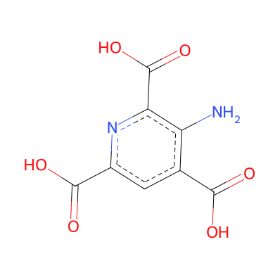 Nc1c(C(=O)O)cc(C(=O)O)nc1C(=O)O